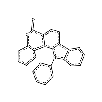 O=c1oc2ccccc2c2c1ccc1c3ccccc3n(-c3ccccc3)c12